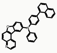 c1ccc(N(c2ccc(-c3cccc4ccccc34)cc2)c2ccc3oc4ccc5ncccc5c4c3c2)cc1